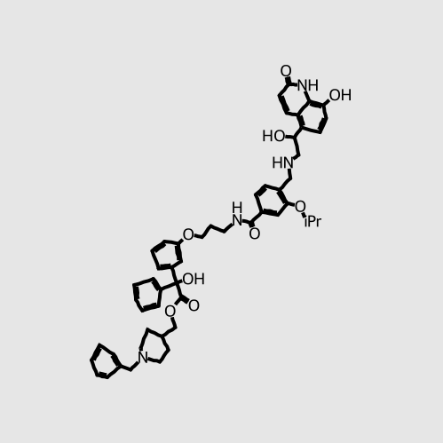 CC(C)Oc1cc(C(=O)NCCCOc2cccc(C(O)(C(=O)OCC3CCN(Cc4ccccc4)CC3)c3ccccc3)c2)ccc1CNCC(O)c1ccc(O)c2[nH]c(=O)ccc12